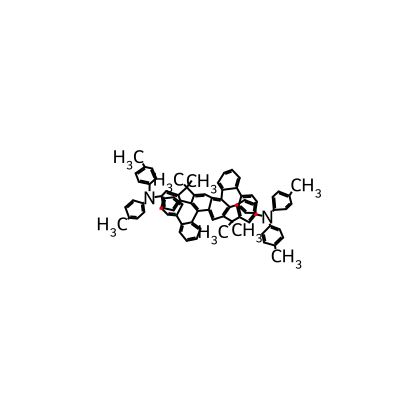 Cc1ccc(N(c2ccc(C)cc2)c2ccc3c(c2)C(C)(C)c2cc4c(-c5ccccc5-c5ccccc5)c5c(cc4c(-c4ccccc4-c4ccccc4)c2-3)C(C)(C)c2cc(N(c3ccc(C)cc3)c3ccc(C)cc3)ccc2-5)cc1